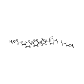 CCCCCCCC1CCC(c2ccc(-c3ccc(C4CCC(CCCCC)CC4)cc3)cc2)OC1